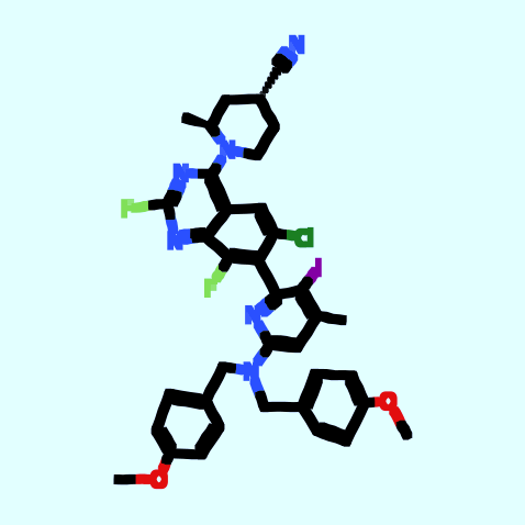 COc1ccc(CN(Cc2ccc(OC)cc2)c2cc(C)c(I)c(-c3c(Cl)cc4c(N5CC[C@@H](C#N)C[C@@H]5C)nc(F)nc4c3F)n2)cc1